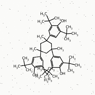 CC(C)(C)c1cc(C2(C)CC(C)(c3cc(C(C)(C)C)c(O)c(C(C)(C)C)c3)CC(C)(c3cc(C(C)(C)C)c(O)c(C(C)(C)C)c3)C2)cc(C(C)(C)C)c1O